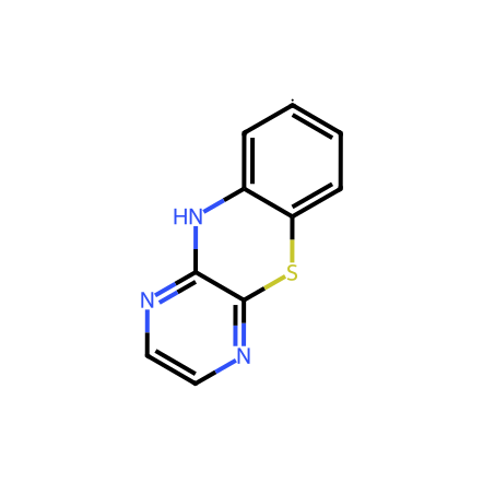 [c]1ccc2c(c1)Nc1nccnc1S2